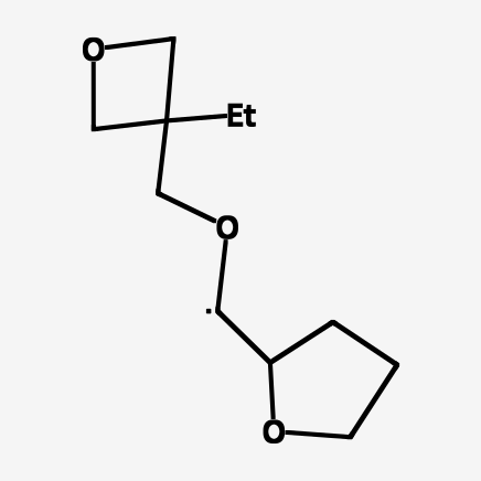 CCC1(CO[CH]C2CCCO2)COC1